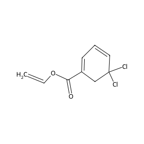 C=COC(=O)C1=CC=CC(Cl)(Cl)C1